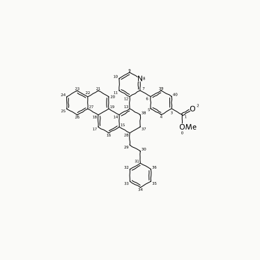 COC(=O)c1ccc(-c2ncccc2C2=c3c(ccc4c3=CCc3ccccc3-4)C(CCc3ccccc3)CC2)cc1